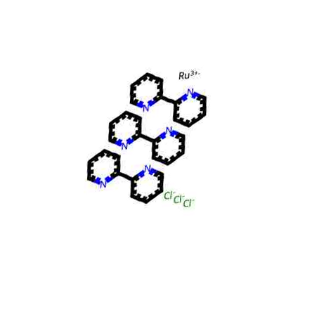 [Cl-].[Cl-].[Cl-].[Ru+3].c1ccc(-c2ccccn2)nc1.c1ccc(-c2ccccn2)nc1.c1ccc(-c2ccccn2)nc1